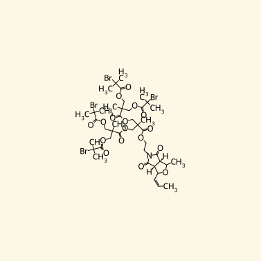 C/C=C\C1OC(C)[C@H]2C(=O)N(CCOC(=O)C(C)(COC(=O)C(C)(COC(=O)C(C)(C)Br)COC(=O)C(C)(C)Br)COC(=O)C(C)(COC(=O)C(C)(C)Br)COC(=O)C(C)(C)Br)C(=O)[C@@H]12